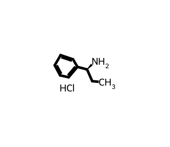 CC[C@H](N)c1ccccc1.Cl